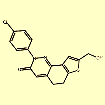 O=c1cc2c(nn1-c1ccc(Cl)cc1)-c1cc(CO)sc1CC2